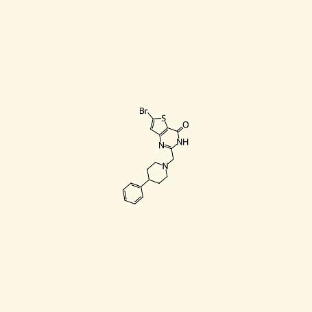 O=c1[nH]c(CN2CCC(c3ccccc3)CC2)nc2cc(Br)sc12